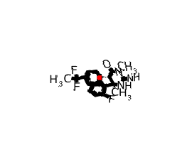 CN1C(=N)N[C@](C)(c2c(F)cccc2F)[C@H](c2ccc(C(C)(F)F)cc2)C1=O